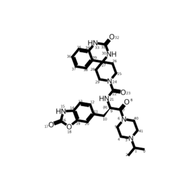 CC(C)N1CCN(C(=O)[C@@H](Cc2ccc3[nH]c(=O)oc3c2)NC(=O)N2CCC3(CC2)NC(=O)Nc2ccccc23)CC1